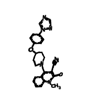 Cn1c(=O)c(C#N)c(N2CCC(Oc3ccc(-n4cncn4)cc3)CC2)c2ccccc21